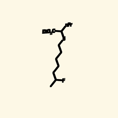 CCCC(SCCCCCC(C)F)C(=O)OCC